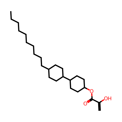 C=C(O)C(=O)OC1CCC(C2CCC(CCCCCCCCCC)CC2)CC1